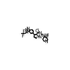 COc1nc(N[C@H]2CCN(C)C[C@H]2F)nn2ccc(-c3ccc4nnn(CC(C)(F)F)c4c3)c12